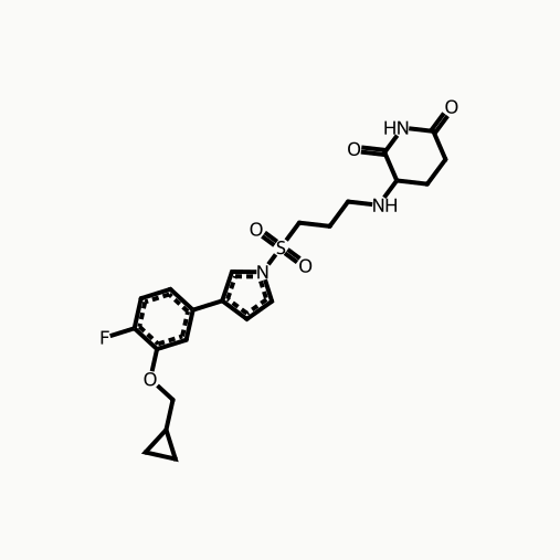 O=C1CCC(NCCCS(=O)(=O)n2ccc(-c3ccc(F)c(OCC4CC4)c3)c2)C(=O)N1